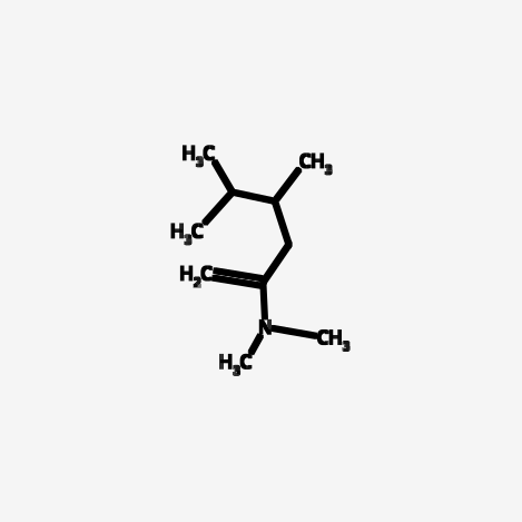 C=C(CC(C)C(C)C)N(C)C